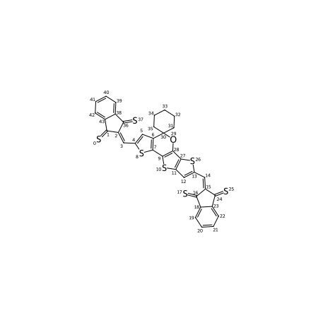 S=C1C(=Cc2cc3c(s2)-c2sc4cc(C=C5C(=S)c6ccccc6C5=S)sc4c2OC32CCCCC2)C(=S)c2ccccc21